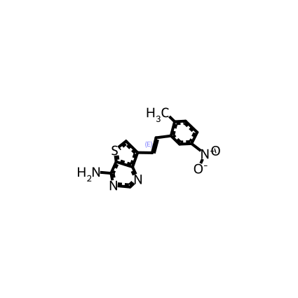 Cc1ccc([N+](=O)[O-])cc1/C=C/c1csc2c(N)ncnc12